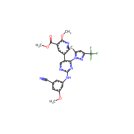 COC(=O)c1cc(-c2cnc(Nc3cc(C#N)cc(OC)c3)nc2-n2nc(C(F)(F)F)cc2C)cnc1OC